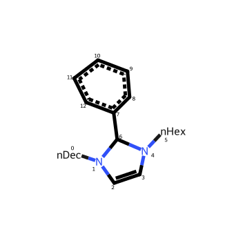 CCCCCCCCCCN1C=CN(CCCCCC)C1c1ccccc1